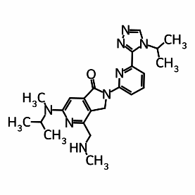 CNCc1nc(N(C)C(C)C)cc2c1CN(c1cccc(-c3nncn3C(C)C)n1)C2=O